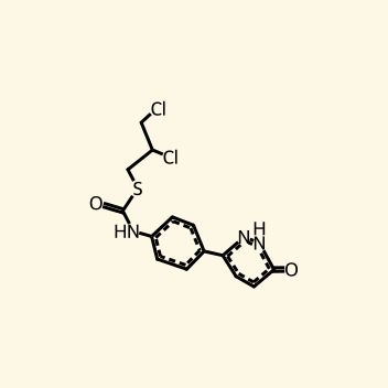 O=C(Nc1ccc(-c2ccc(=O)[nH]n2)cc1)SCC(Cl)CCl